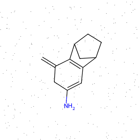 C=C1CC(N)=CC2=C1C1CCC2C1